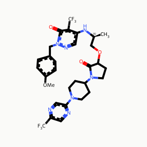 COc1ccc(Cn2ncc(N[C@@H](C)COC3CCN(C4CCN(c5cnc(C(F)(F)F)cn5)CC4)C3=O)c(C(F)(F)F)c2=O)cc1